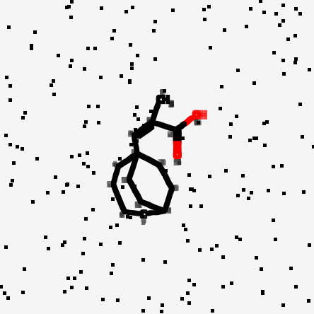 CC(=CC12CCCCC(CC1)CC2)C(=O)O